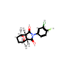 O=C1[C@@H]2[C@H](C(=O)N1c1ccc(F)c(Cl)c1)[C@H]1CC[C@@H]2O1